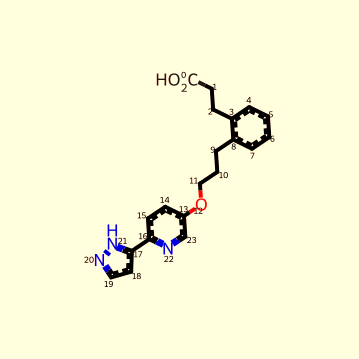 O=C(O)CCc1ccccc1CCCOc1ccc(-c2ccn[nH]2)nc1